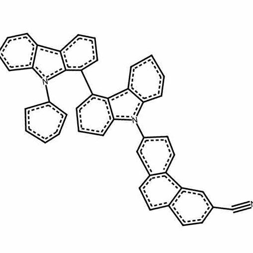 N#Cc1ccc2ccc3cc(-n4c5ccccc5c5c(-c6cccc7c8ccccc8n(-c8ccccc8)c67)cccc54)ccc3c2c1